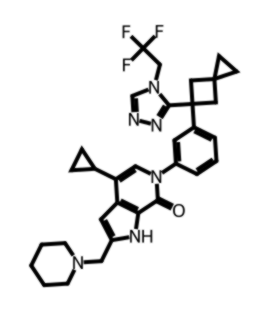 O=c1c2[nH]c(CN3CCCCC3)cc2c(C2CC2)cn1-c1cccc(C2(c3nncn3CC(F)(F)F)CC3(CC3)C2)c1